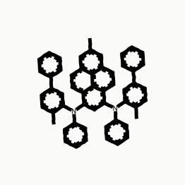 Cc1cc2ccc3c(N(c4ccccc4)c4cc(-c5ccccc5)ccc4C)cc(N(c4ccccc4)c4cc(-c5ccccc5)ccc4C)c4ccc(c1)c2c34